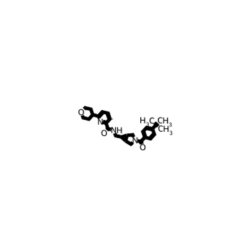 CC(C)(C)c1ccc(C(=O)N2CC3C(CNC(=O)c4[c]ccc(C5CCOCC5)n4)C3C2)cc1